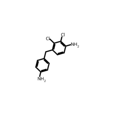 Nc1ccc(Cc2ccc(N)c(Cl)c2Cl)cc1